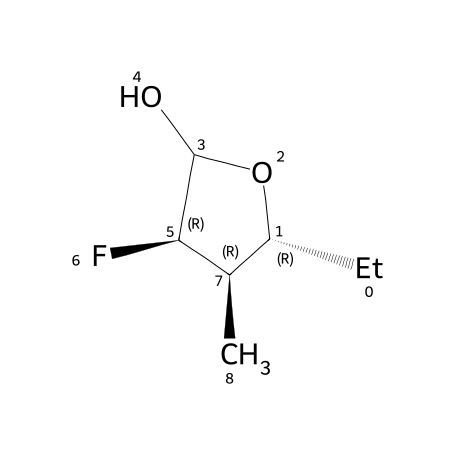 CC[C@H]1OC(O)[C@H](F)[C@@H]1C